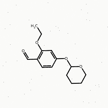 CCOc1cc(OC2CCCCO2)ccc1C=O